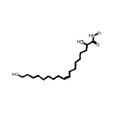 CCNC(=O)C(O)CCCCCC/C=C\CCCCCCCCO